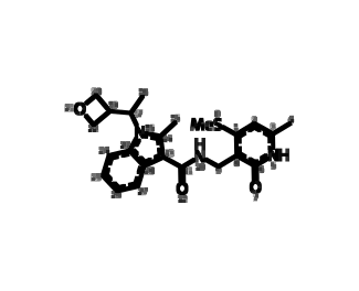 CSc1cc(C)[nH]c(=O)c1CNC(=O)c1c(C)n(C(C)C2COC2)c2ccccc12